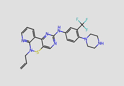 C=CCN1Sc2cnc(Nc3ccc(N4CCNCC4)c(C(F)(F)F)c3)nc2-c2cccnc21